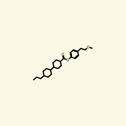 CCCC1CCC(C2CCC(C(=O)Oc3ccc(CCOC)cc3)CC2)CC1